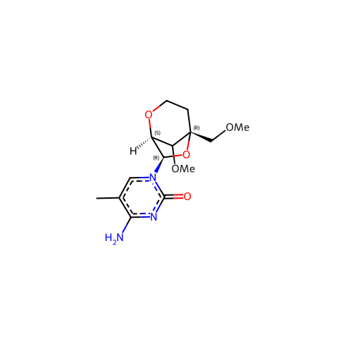 COC[C@]12CCO[C@@H](C1OC)[C@H](n1cc(C)c(N)nc1=O)O2